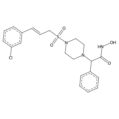 O=C(NO)C(c1ccccc1)N1CCN(S(=O)(=O)CC=Cc2cccc(Cl)c2)CC1